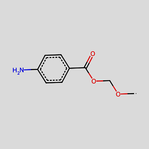 [CH2]OCOC(=O)c1ccc(N)cc1